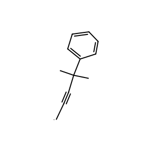 [CH2]C#CC(C)(C)c1ccccc1